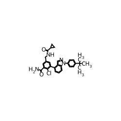 CC(C)(C)c1ccc(-n2ncc3c(-c4cc(CNC(=O)C5CC5)cc(C(N)=O)c4Cl)cccc32)cc1